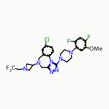 COc1cc(N2CCN(c3nnc4n3-c3ccc(Cl)cc3CN(C3CN(CC(F)(F)F)C3)C4)CC2)c(F)cc1F